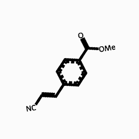 COC(=O)c1ccc(C=CC#N)cc1